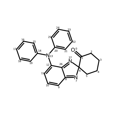 O=C1CCCCC12N=c1cccc(N(c3ccccc3)c3ccccc3)c1=N2